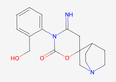 N=C1CC2(CN3CCC2CC3)OC(=O)N1c1ccccc1CO